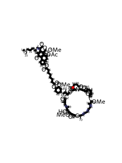 COC[C@H]1OC(=O)/C(=C/N(C)CCCN(C)C)C2=C(C)C(=O)C3=C([C@H](OC(C)=O)C[C@@]4(C)C3CC[C@@H]4OC(=O)CCCCCCC(=O)O[C@@H]3CC[C@@H](C[C@@H](C)[C@@H]4CC(=O)[C@H](C)/C=C(\C)[C@@H](O)[C@@H](OC)C(=O)[C@H](C)C[C@H](C)/C=C/C=C/C=C(\C)[C@@H](OC)C[C@@H]5CC[C@@H](C)[C@@](O)(O5)C(=O)C(=O)N5CCCC[C@H]5C(=O)O4)C[C@H]3OC)[C@]21C